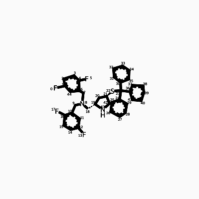 Fc1ccc(F)c(CN(Cc2cc(F)ccc2F)C[C@@H]2C[C@@H](SC(c3ccccc3)(c3ccccc3)c3ccccc3)CN2)c1